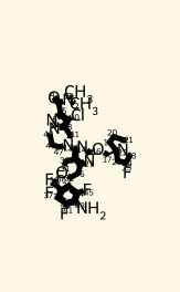 CN(C)C(=O)c1nn2c(c1Cl)CN(c1nc(OC[C@@]34CCCN3C[C@H](F)C4)nc3c1CO[C@@H](c1c(C(F)(F)F)cc(F)c(N)c1F)C3)CCC2